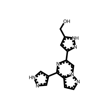 OCc1cc(-c2cn3nccc3c(-c3cn[nH]c3)n2)n[nH]1